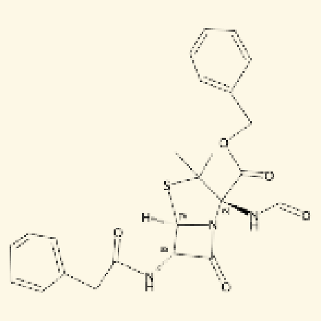 CC1(C)S[C@@H]2[C@@H](NC(=O)Cc3ccccc3)C(=O)N2[C@@]1(NC=O)C(=O)OCc1ccccc1